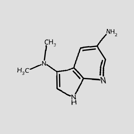 CN(C)c1c[nH]c2ncc(N)cc12